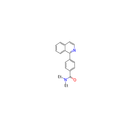 CCN(CC)C(=O)c1ccc(-c2nccc3ccccc23)cc1